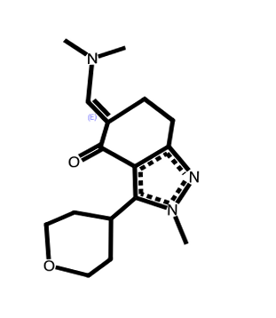 CN(C)/C=C1\CCc2nn(C)c(C3CCOCC3)c2C1=O